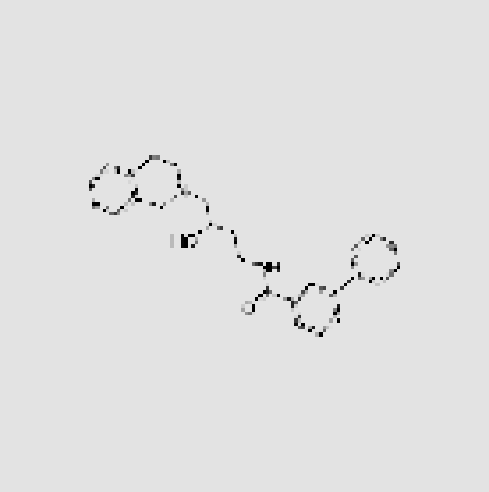 O=C(NCCC(O)CN1CCc2ccccc2C1)c1cccc(-c2ccccc2)c1